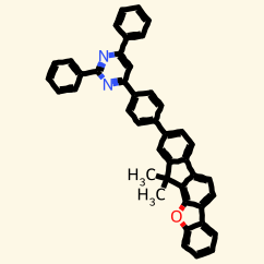 CC1(C)c2cc(-c3ccc(-c4cc(-c5ccccc5)nc(-c5ccccc5)n4)cc3)ccc2-c2ccc3c(oc4ccccc43)c21